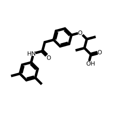 Cc1cc(C)cc(NC(=O)Cc2ccc(OC(C)C(C)C(=O)O)cc2)c1